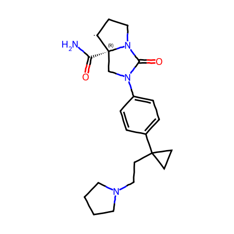 NC(=O)[C@]12[CH]CCN1C(=O)N(c1ccc(C3(CCN4CCCC4)CC3)cc1)C2